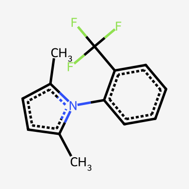 Cc1ccc(C)n1-c1ccccc1C(F)(F)F